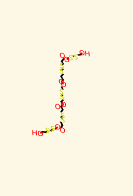 O=C(CCSCSCCC(=O)OCSCSCCO)OCCSCSCCOOCCCSCSCCC(=O)OCSCSCCO